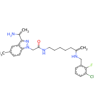 C=C(CCCCCNC(=O)Cn1nc(C(=C)N)c2cc(C)ccc21)NCc1cccc(Cl)c1F